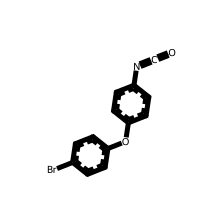 O=C=Nc1ccc(Oc2ccc(Br)cc2)cc1